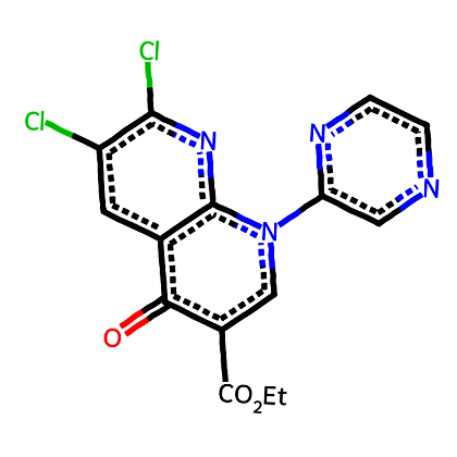 CCOC(=O)c1cn(-c2cnccn2)c2nc(Cl)c(Cl)cc2c1=O